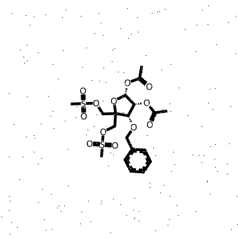 CC(=O)O[C@H]1OC(COS(C)(=O)=O)(COS(C)(=O)=O)[C@@H](OCc2ccccc2)[C@H]1OC(C)=O